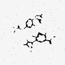 CC(C)OC(=O)c1cc(-c2nn(C)c(C(F)(F)F)c2Br)c(F)cc1Cl.CN(C)C(=O)Nc1ccc(-n2nc(C(C)(C)C)oc2=O)c(Cl)c1